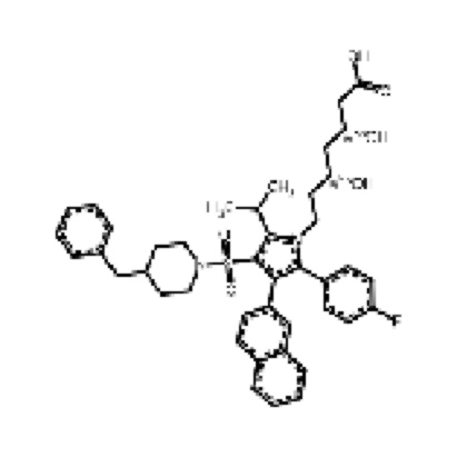 CC(C)c1c(S(=O)(=O)N2CCC(Cc3ccccc3)CC2)c(-c2ccc3ccccc3c2)c(-c2ccc(F)cc2)n1CC[C@@H](O)C[C@@H](O)CC(=O)O